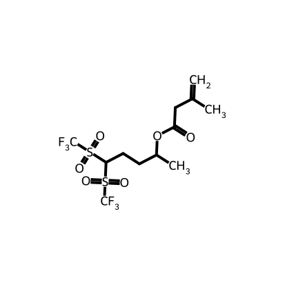 C=C(C)CC(=O)OC(C)CCC(S(=O)(=O)C(F)(F)F)S(=O)(=O)C(F)(F)F